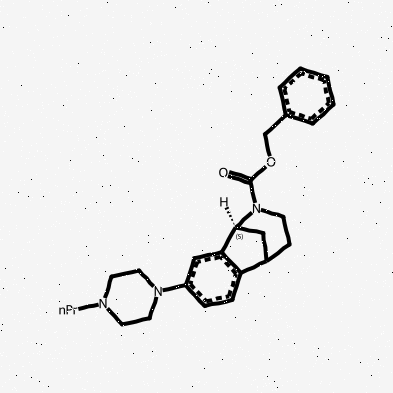 CCCN1CCN(c2ccc3c(c2)[C@@H]2CC3CCN2C(=O)OCc2ccccc2)CC1